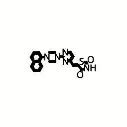 O=C1NC(=O)/C(=C/c2ccnc(N3CCN(c4cccc5ccccc45)CC3)n2)S1